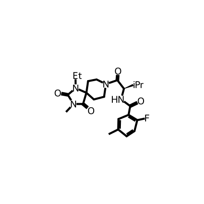 CCN1C(=O)N(C)C(=O)C12CCN(C(=O)[C@H](NC(=O)c1cc(C)ccc1F)C(C)C)CC2